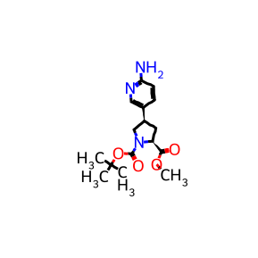 COC(=O)[C@@H]1C[C@H](c2ccc(N)nc2)CN1C(=O)OC(C)(C)C